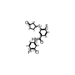 O=C1CCC(Sc2cc(C(=O)Nc3ccc(F)c(Cl)c3)ccc2F)C1